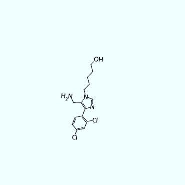 NCc1c(-c2ccc(Cl)cc2Cl)ncn1CCCCCO